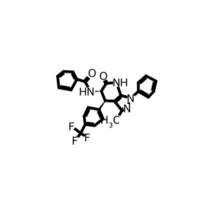 Cc1nn(-c2ccccc2)c2c1[C@@H](c1ccc(C(F)(F)F)cc1)[C@H](NC(=O)c1ccccc1)C(=O)N2